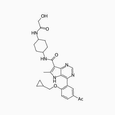 CC(=O)c1ccc(OCC2CC2)c(-c2ncnc3c(C(=O)NC4CCC(NC(=O)CO)CC4)c(C)[nH]c23)c1